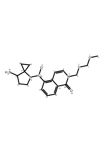 COCOCn1ccc2c([S+]([O-])N3CCC(N)C34CC4)cccc2c1=O